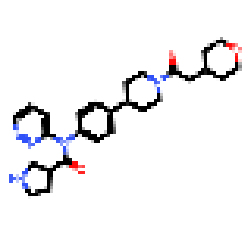 O=C(CC1CCOCC1)N1CCC(c2ccc(N(C(=O)C3CCNC3)c3cccnn3)cc2)CC1